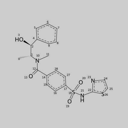 C[C@H]([C@@H](O)c1ccccc1)N(C)C(=O)c1ccc(S(=O)(=O)Nc2nccs2)cc1